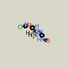 CC(Nc1nc2ccc(NC3COC3)cc2n1C)c1ccc(Oc2ccc(Cl)cn2)cc1